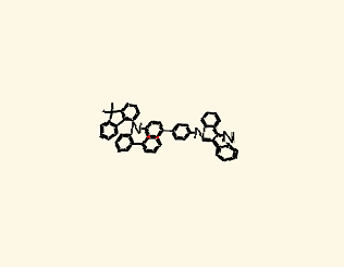 CC1(C)c2ccccc2-c2c(N(c3ccc(-c4ccc(-n5cc6c7ccccc7nc-6c6ccccc65)cc4)cc3)c3ccccc3-c3ccccc3)cccc21